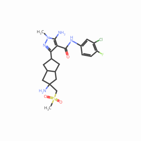 Cn1nc(C2CC3CC(N)(CS(C)(=O)=O)CC3C2)c(C(=O)Nc2ccc(F)c(Cl)c2)c1N